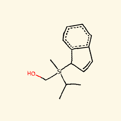 CC(C)[Si](C)(CO)C1C=Cc2ccccc21